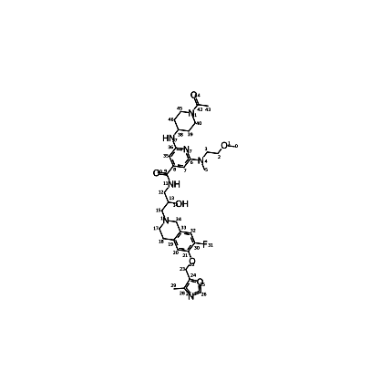 COCCN(C)c1cc(C(=O)NCC(O)CN2CCc3cc(OCc4ocnc4C)c(F)cc3C2)cc(NC2CCN(C(C)=O)CC2)n1